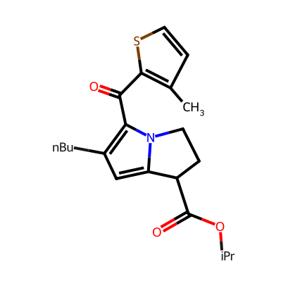 CCCCc1cc2n(c1C(=O)c1sccc1C)CCC2C(=O)OC(C)C